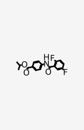 CC(C)OC(=O)c1ccc(NC(=O)c2cc(F)ccc2F)cc1